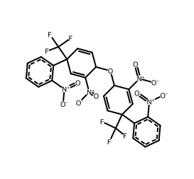 O=[N+]([O-])C1=CC(c2ccccc2[N+](=O)[O-])(C(F)(F)F)C=CC1OC1C=CC(c2ccccc2[N+](=O)[O-])(C(F)(F)F)C=C1[N+](=O)[O-]